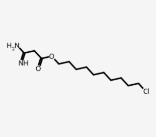 N=C(N)CC(=O)OCCCCCCCCCCCl